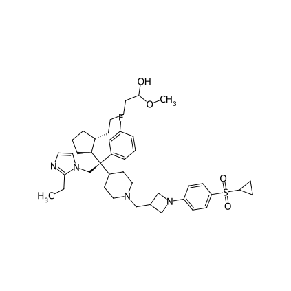 CCc1nccn1C[C@@](c1cccc(F)c1)(C1CCN(CC2CN(c3ccc(S(=O)(=O)C4CC4)cc3)C2)CC1)[C@H]1CCC[C@@H]1CCCCC(O)OC